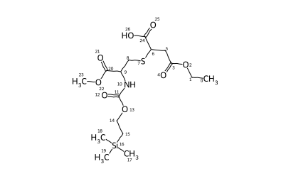 CCOC(=O)CC(SCC(NC(=O)OCC[Si](C)(C)C)C(=O)OC)C(=O)O